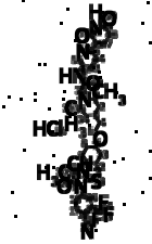 C[C@@H]1CC(CCO[C@H]2CC[C@H](N3C(=S)N(c4ccc(C#N)c(C(F)(F)F)c4)C(=O)C3(C)C)CC2)C[C@H](C)N1CC(=O)Nc1ccc(C2CCC(=O)NC2=O)nc1.Cl